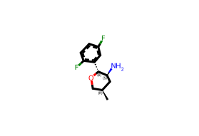 C[C@H]1CO[C@H](c2cc(F)ccc2F)[C@@H](N)C1